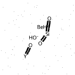 O=[Si]=O.[BeH+].[OH-].[O]=[Y]